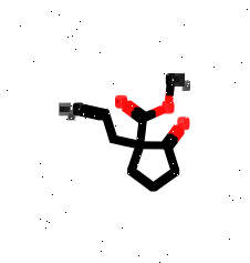 C=CCC1(C(=O)OC)CCCC1=O